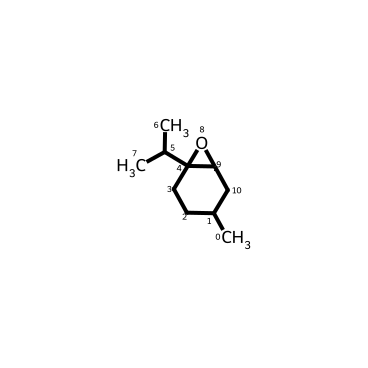 CC1CCC2(C(C)C)O[C]2C1